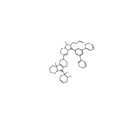 C=CCCC1C(C)C2CCC(C3CCC4=C(C3)C3(C)CCCCC3N4C3(C)CC=CCC3C)=CC2N1c1cc(C2=CCCC=C2)cc(C2=CC=CCC2)c1